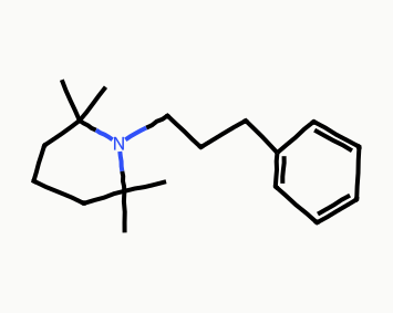 CC1(C)CCCC(C)(C)N1CCCc1ccccc1